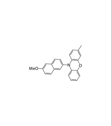 COc1ccc2cc(N3c4ccccc4Oc4cc(C)ccc43)ccc2c1